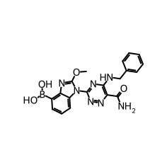 COc1nc2c(B(O)O)cccc2n1-c1nnc(C(N)=O)c(NCc2ccccc2)n1